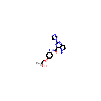 CC(C)[C@@H](O)CO[C@H]1CC[C@H](NC(=O)c2nc(-n3ccnc3)nc3cc[nH]c23)CC1